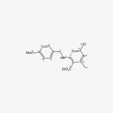 CCOC(=O)c1c(NCc2ccc(OC)cc2)cc(Cl)nc1C